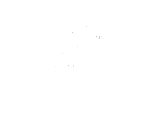 Cn1c(=O)[nH]c(=O)c2c1ncn2CC(=O)Nc1nccc2ccccc12